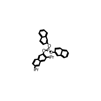 CC(C)c1ccc2cc(OP(Oc3ccc4ccccc4c3)Oc3ccc4ccccc4c3)c(C(C)C)cc2c1